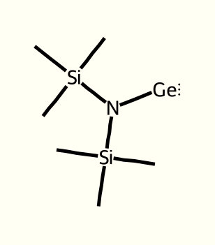 C[Si](C)(C)[N]([Ge])[Si](C)(C)C